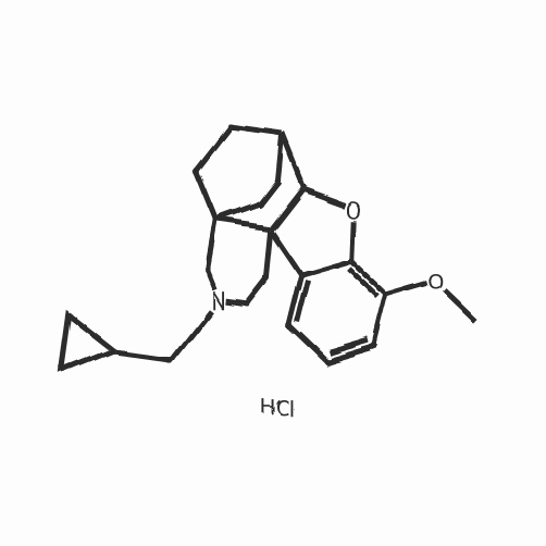 COc1cccc2c1OC1C3CCC4(CC3)CN(CC3CC3)CCC214.Cl